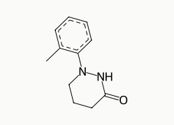 Cc1ccccc1N1CCCC(=O)N1